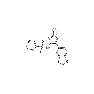 O=S(=O)(Nn1nc(C(F)(F)F)cc1-c1ccc2sccc2c1)c1ccccc1